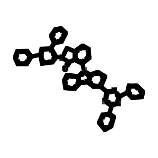 O=C1c2c(cccc2-n2c3ccccc3c3cc(-c4nc(-c5ccccc5)nc(-c5ccccc5)n4)ccc32)CN1c1ccc(-c2ccccc2)cc1-c1ccccc1